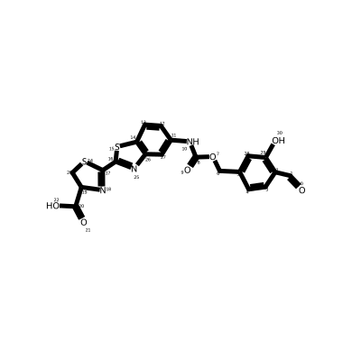 O=Cc1ccc(COC(=O)Nc2ccc3sc(C4=NC(C(=O)O)CS4)nc3c2)cc1O